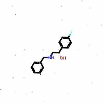 O[C@H](CNCc1ccccc1)c1ccc(F)cc1